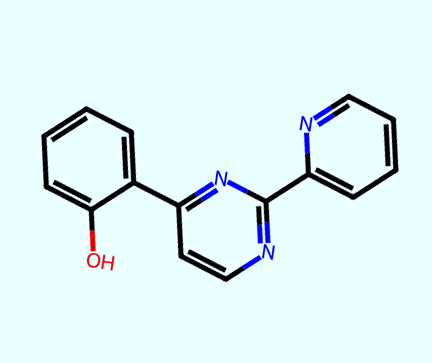 Oc1ccccc1-c1ccnc(-c2ccccn2)n1